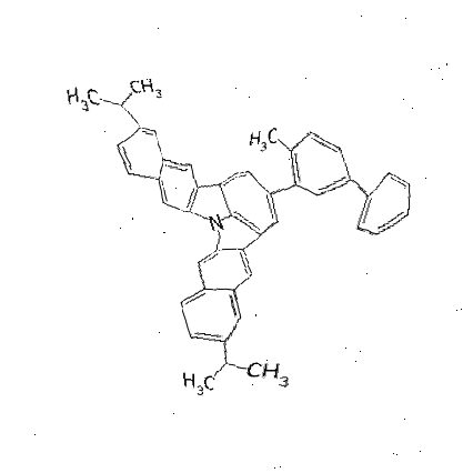 Cc1ccc(-c2ccccc2)cc1-c1cc2c3cc4cc(C(C)C)ccc4cc3n3c4cc5ccc(C(C)C)cc5cc4c(c1)c23